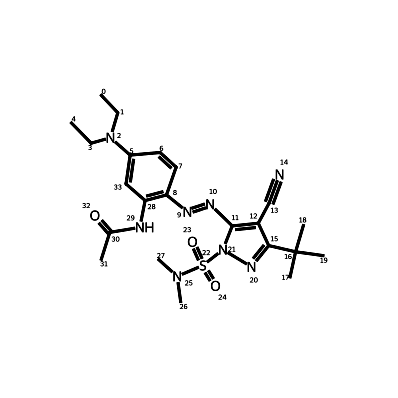 CCN(CC)c1ccc(/N=N/c2c(C#N)c(C(C)(C)C)nn2S(=O)(=O)N(C)C)c(NC(C)=O)c1